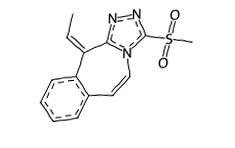 CC=C1c2ccccc2C=Cn2c1nnc2S(C)(=O)=O